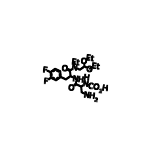 CCOC(CN(CC)C(=O)C(Cc1ccc(F)c(F)c1)NC(=O)C(CN)NC(=O)O)OCC